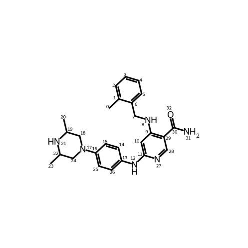 Cc1ccccc1CNc1cc(Nc2ccc(N3CC(C)NC(C)C3)cc2)ncc1C(N)=O